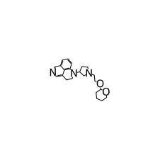 c1cc2c3c(cncc3c1)CCN2C1CCN(CCOC2CCCCO2)C1